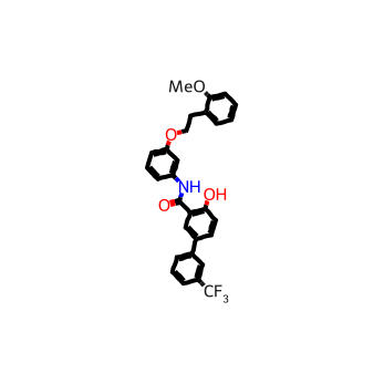 COc1ccccc1CCOc1cccc(NC(=O)c2cc(-c3cccc(C(F)(F)F)c3)ccc2O)c1